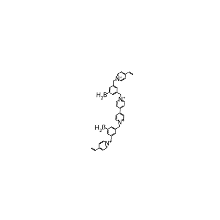 Bc1cc(C[n+]2ccc(C=C)cc2)cc(C[n+]2ccc(-c3cc[n+](Cc4cc(B)cc(C[n+]5ccc(C=C)cc5)c4)cc3)cc2)c1